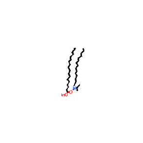 CCCCCCCCCCCCCCCCCC(=O)O.CCCCCCCCCCCCCCCN(C)C(C)C